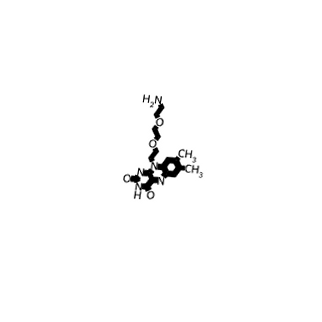 Cc1cc2nc3c(=O)[nH]c(=O)nc-3n(CCOCCOCCN)c2cc1C